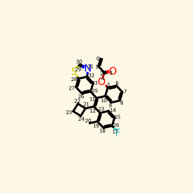 C=CC(=O)Oc1ccccc1/C(=C(\c1ccc(F)cc1C)C1CCC1)c1ccc2scnc2c1